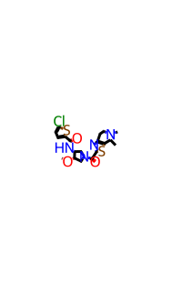 COC1CN(C(=O)c2nc3c(s2)C(C)N(C)CC3)CC1NC(=O)c1ccc(Cl)s1